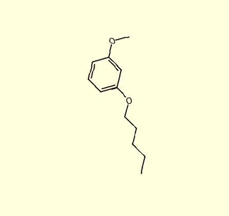 CCCCCOc1cccc(OC)c1